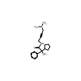 CN(C)CC#CCNC(=O)C(O)(c1ccccc1)C1CCCC1